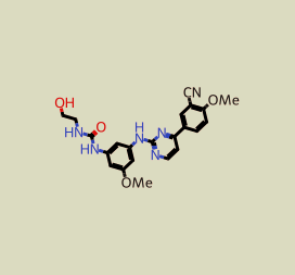 COc1cc(NC(=O)NCCO)cc(Nc2nccc(-c3ccc(OC)c(C#N)c3)n2)c1